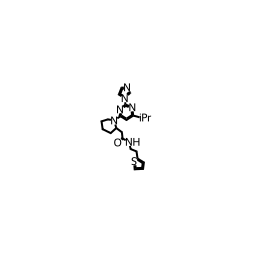 CC(C)c1cc(N2CCCCC2CC(=O)NCCc2cccs2)nc(-n2ccnc2)n1